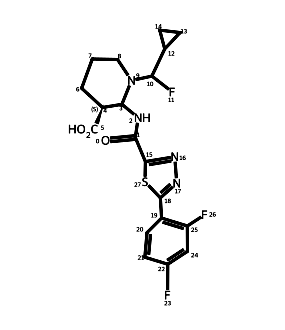 O=C(NC1[C@@H](C(=O)O)CCCN1C(F)C1CC1)c1nnc(-c2ccc(F)cc2F)s1